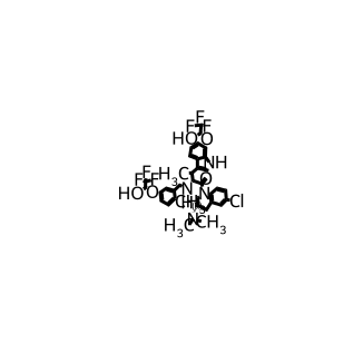 Cc1ccccc1CNC(C(=O)N1C[C@@H](CN(C)C)Cc2cc(Cl)ccc21)C(C)c1c[nH]c2ccccc12.O=C(O)C(F)(F)F.O=C(O)C(F)(F)F